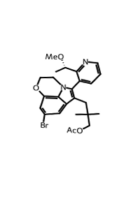 CO[C@@H](C)c1ncccc1-c1c(CC(C)(C)COC(C)=O)c2cc(Br)cc3c2n1CCO3